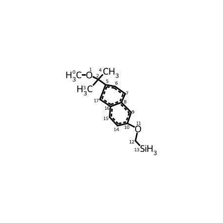 COC(C)(C)c1ccc2cc(OC[SiH3])ccc2c1